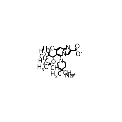 COC(=O)[C@@H](OC(C)(C)C)c1c(C)cc2nc(C(=O)[O-])cn2c1N1CCC(C)(C)CC1.[Na+]